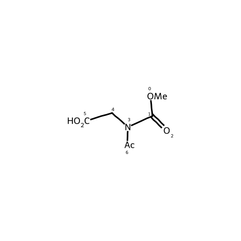 COC(=O)N(CC(=O)O)C(C)=O